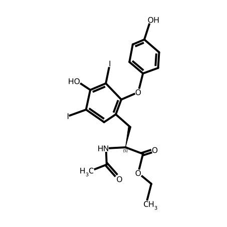 CCOC(=O)[C@H](Cc1cc(I)c(O)c(I)c1Oc1ccc(O)cc1)NC(C)=O